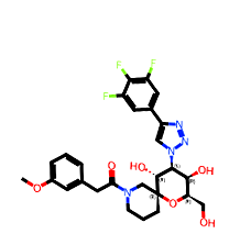 COc1cccc(CC(=O)N2CCC[C@]3(C2)O[C@H](CO)[C@H](O)[C@H](n2cc(-c4cc(F)c(F)c(F)c4)nn2)[C@H]3O)c1